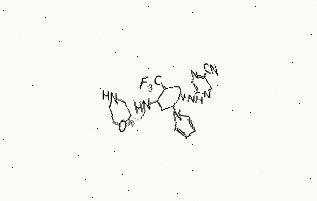 N#Cc1cnc(NN2CC(C(F)(F)F)C(NC[C@H]3CNCCO3)CC2n2cccc2)cn1